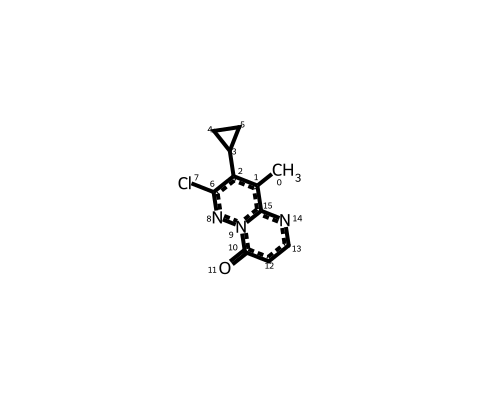 Cc1c(C2CC2)c(Cl)nn2c(=O)ccnc12